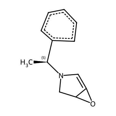 C[C@@H](c1ccccc1)N1C=C2OC2C1